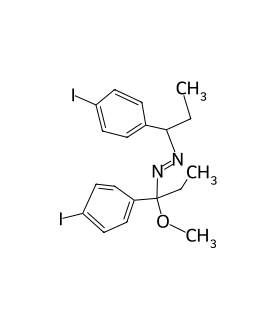 CCC(N=NC(CC)(OC)c1ccc(I)cc1)c1ccc(I)cc1